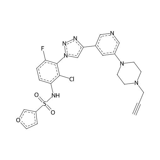 C#CCN1CCN(c2cncc(-c3cn(-c4c(F)ccc(NS(=O)(=O)c5ccoc5)c4Cl)nn3)c2)CC1